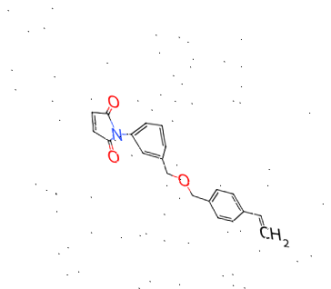 C=Cc1ccc(COCc2cccc(N3C(=O)C=CC3=O)c2)cc1